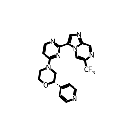 FC(F)(F)c1cn2c(-c3nccc(N4CCO[C@@H](c5ccncc5)C4)n3)cnc2cn1